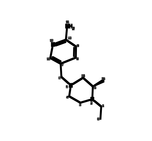 CCN1CCN(Cc2ccc(N)nc2)C[C@H]1C